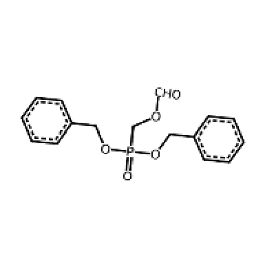 O=COCP(=O)(OCc1ccccc1)OCc1ccccc1